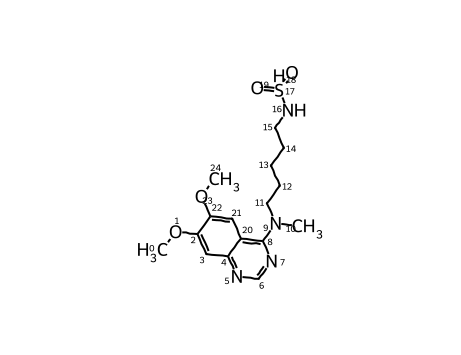 COc1cc2ncnc(N(C)CCCCCN[SH](=O)=O)c2cc1OC